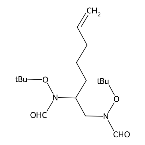 C=CCCCC(CN(C=O)OC(C)(C)C)N(C=O)OC(C)(C)C